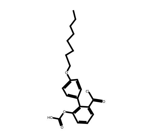 CCCCCCCCOc1ccc(-c2c(OC(=O)O)cccc2C(=O)Cl)cc1